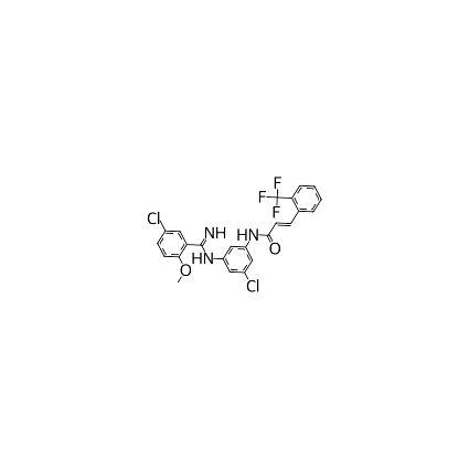 COc1ccc(Cl)cc1C(=N)Nc1cc(Cl)cc(NC(=O)/C=C/c2ccccc2C(F)(F)F)c1